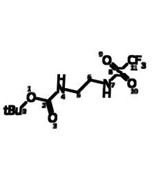 CC(C)(C)OC(=O)NCCNS(=O)(=O)C(F)(F)F